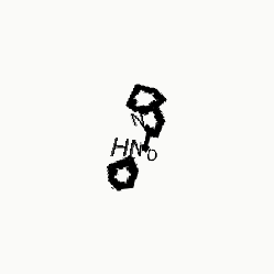 O=C(Nc1cc[c]cc1)c1ccc2ccccc2n1